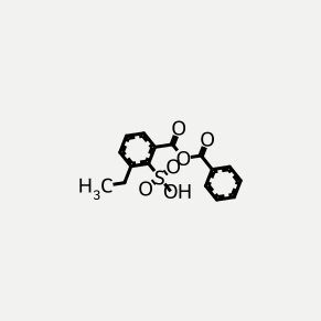 CCc1cccc(C(=O)OC(=O)c2ccccc2)c1S(=O)(=O)O